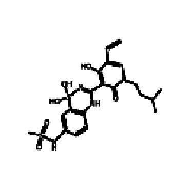 C=Cc1cn(CCC(C)C)c(=O)c(C2=NS(O)(O)c3cc(NS(C)(=O)=O)ccc3N2)c1O